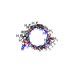 C/C=C/C[C@@H](C)[C@@H](OC(=O)CN=[N+]=[N-])[C@H]1C(=O)N[C@@H](CC)C(=O)N(C)CC(=O)N(C)C(C(C)C)C(=O)N[C@@H](C(C)C)C(=O)N(C)[C@@H](CC(C)C)C(=O)N[C@@H](C)C(=O)N[C@H](C)C(=O)N(C)[C@@H](CC(C)C)C(=O)N(C)[C@@H](CC(C)C)C(=O)N(C)[C@@H](C(C)C)C(=O)N1C